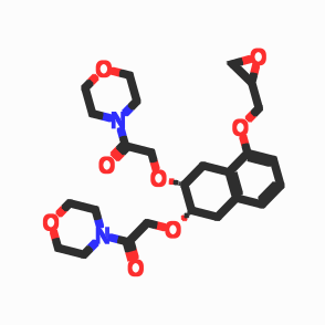 O=C(CO[C@H]1Cc2cccc(OCC3CO3)c2C[C@H]1OCC(=O)N1CCOCC1)N1CCOCC1